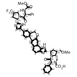 COC[C@H]1C[C@@H](c2nc3ccc4cc5c(cc4c3[nH]2)OCc2cc(-c3cnc([C@@H]4C[C@H](C(F)(F)F)CN4C(=O)[C@@H](NC(=O)OC)C(C)C)[nH]3)ccc2-5)N(C(=O)[C@@H](c2ccccc2)N(C)C(=O)O)C1